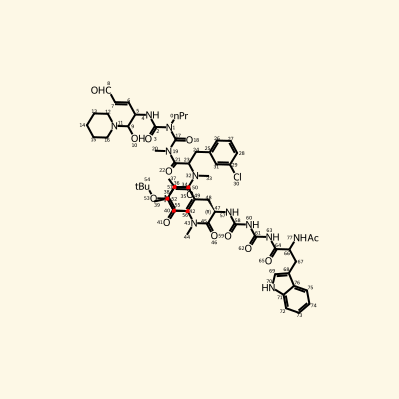 CCCN(C(=O)NC(C=CC=O)C(O)N1CCCCC1)C(=O)N(C)C(=O)C(Cc1cccc(Cl)c1)N(C)C(=O)C(C)N(C)C(=O)CN(C)C(=O)[C@@H](Cc1ccc(OC(C)(C)C)cc1)NC(=O)NC(=O)NC(=O)C(Cc1c[nH]c2ccccc12)NC(C)=O